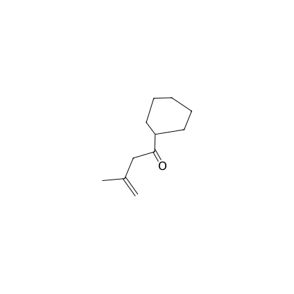 C=C(C)CC(=O)C1CCCCC1